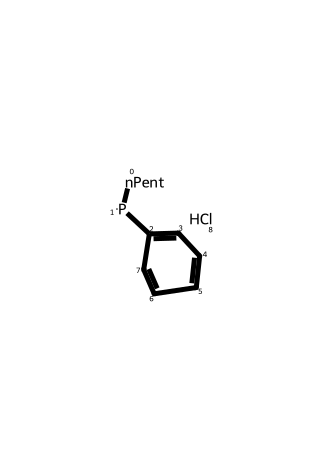 CCCCC[P]c1ccccc1.Cl